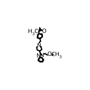 CCOCCn1c(C2CCN(CCc3ccc(C4(C)CC4=O)cc3)CC2)nc2ccccc21